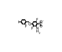 Nc1c(F)c(OCc2ccc(I)cc2F)cc(F)c1[N+](=O)[O-]